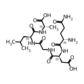 CC(C)C[C@H](NC(=O)CNC(=O)[C@H](CC(=O)O)NC(=O)[C@@H](N)CCC(N)=O)C(=O)N[C@@H](C)C(=O)O